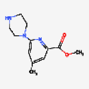 COC(=O)c1cc(C)cc(N2CCNCC2)n1